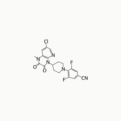 Cn1c(=O)c(=O)n(C2CCN(c3c(F)cc(C#N)cc3F)CC2)c2ncc(Cl)cc21